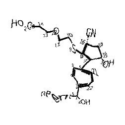 CCCCCC(O)c1ccc(C2C(SCCOCCC(=O)O)[C@H](C#N)C[C@H]2O)cc1